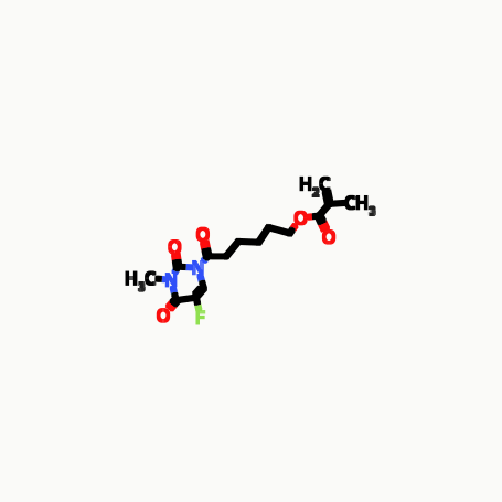 C=C(C)C(=O)OCCCCCC(=O)n1cc(F)c(=O)n(C)c1=O